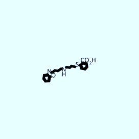 O=C(O)c1ccccc1SCCCCNCCCc1nc2ccccc2o1